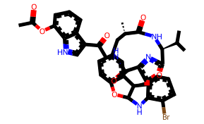 CC(=O)Oc1cccc2c(C(=O)CNC(=O)c3nc4oc3[C@]35c6cc(ccc6OC3Nc3c(Br)cccc35)C[C@H](C)C(=O)N[C@H]4C(C)C)c[nH]c12